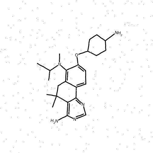 CC(C)N(C)c1c(OC2CCC(N)CC2)ccc2c1CC(C)(C)c1c(N)ncnc1-2